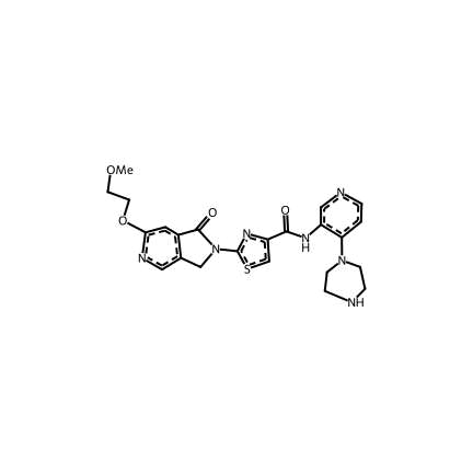 COCCOc1cc2c(cn1)CN(c1nc(C(=O)Nc3cnccc3N3CCNCC3)cs1)C2=O